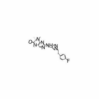 C[C@H]1C(=O)N(C)c2cnc(NCc3cnn(CCc4ccc(F)cc4)c3)nc2N1C